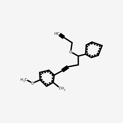 C#CCOC(CC#Cc1ccc(OC)cc1C)c1ccccc1